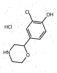 Cl.Oc1ccc(C2CNCCO2)cc1Cl